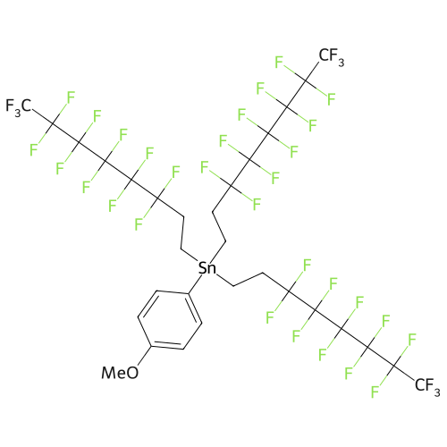 COc1cc[c]([Sn]([CH2]CC(F)(F)C(F)(F)C(F)(F)C(F)(F)C(F)(F)C(F)(F)F)([CH2]CC(F)(F)C(F)(F)C(F)(F)C(F)(F)C(F)(F)C(F)(F)F)[CH2]CC(F)(F)C(F)(F)C(F)(F)C(F)(F)C(F)(F)C(F)(F)F)cc1